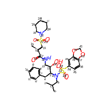 CC(C)CN(C(Cc1ccccc1)[C@H](O)CNC(=O)[C@@H](C)CS(=O)(=O)N1CCCCC1)S(=O)(=O)c1ccc2c(c1)OCO2